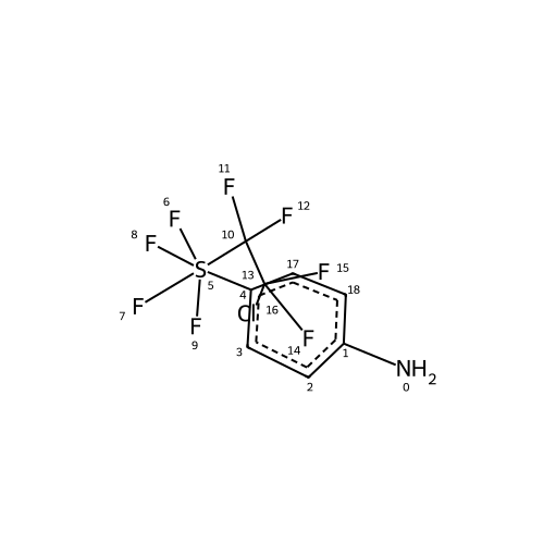 Nc1ccc(S(F)(F)(F)(F)C(F)(F)C(F)(F)Cl)cc1